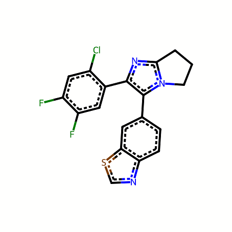 Fc1cc(Cl)c(-c2nc3n(c2-c2ccc4ncsc4c2)CCC3)cc1F